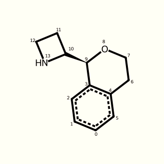 c1ccc2c(c1)CCO[C@@H]2C1CCN1